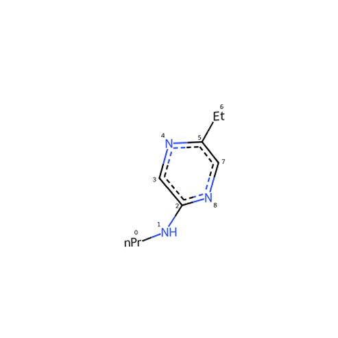 CCCNc1cnc(CC)cn1